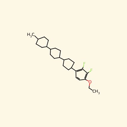 CCOc1ccc(C2CCC(C3CCC(C4CCC(C)CC4)CC3)CC2)c(F)c1F